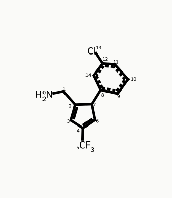 NCC1=CC(C(F)(F)F)=CC1c1cccc(Cl)c1